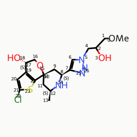 COCC(O)Cn1cc([C@@H]2C[C@]3(C[C@H](C)N2)OC[C@@H](O)c2cc(Cl)sc23)nn1